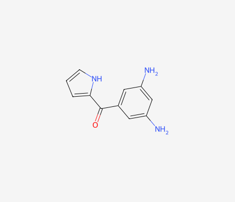 Nc1cc(N)cc(C(=O)c2ccc[nH]2)c1